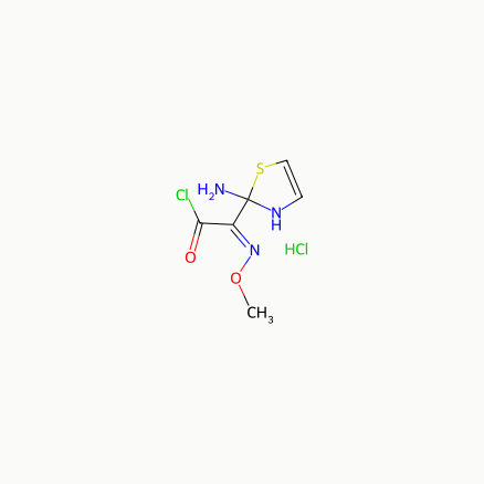 CON=C(C(=O)Cl)C1(N)NC=CS1.Cl